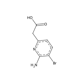 Nc1nc(CC(=O)O)ccc1Br